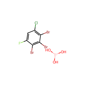 Fc1cc(Cl)c(Br)c(Br)c1Br.OB(O)O